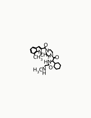 CNCC(=O)NC(C(=O)N1CCN(C(=O)c2cc3cccc(C)c3n2C)CC1)C1CCCCC1